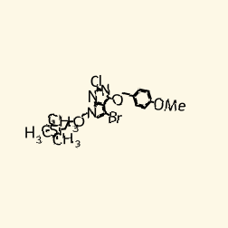 COc1ccc(COc2nc(Cl)nc3c2c(Br)cn3COCC[Si](C)(C)C)cc1